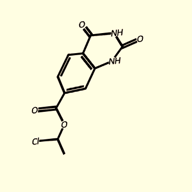 CC(Cl)OC(=O)c1ccc2c(=O)[nH]c(=O)[nH]c2c1